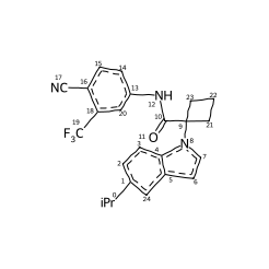 CC(C)c1ccc2c(ccn2C2(C(=O)Nc3ccc(C#N)c(C(F)(F)F)c3)CCC2)c1